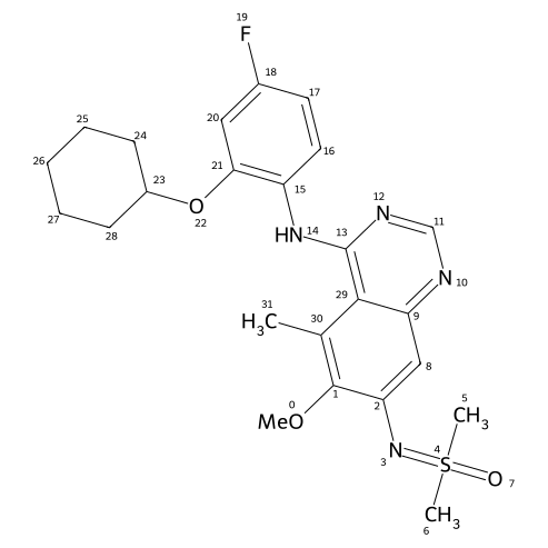 COc1c(N=S(C)(C)=O)cc2ncnc(Nc3ccc(F)cc3OC3CCCCC3)c2c1C